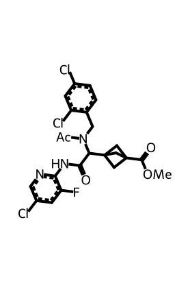 COC(=O)C12CC(C(C(=O)Nc3ncc(Cl)cc3F)N(Cc3ccc(Cl)cc3Cl)C(C)=O)(C1)C2